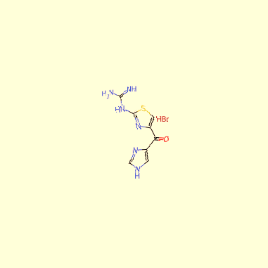 Br.N=C(N)Nc1nc(C(=O)c2c[nH]cn2)cs1